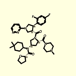 CN1CCN(C(=O)[C@@H]2C[C@H](N(C(=O)[C@@H]3CCCO3)C3CCC(C)(C)CC3)CN2C(=O)[C@@H]2CN(c3cccnn3)C[C@H]2c2ccc(F)cc2F)CC1